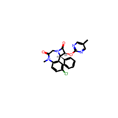 Cc1cnc(O[C@@H]2C(=O)N3CC(=O)N(C)c4ccc(Cl)cc4[C@@]23c2ccccc2)nc1